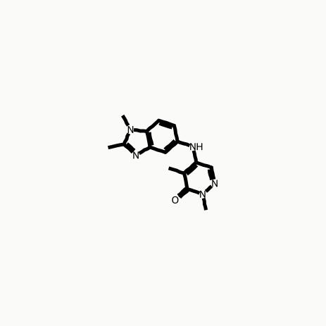 Cc1c(Nc2ccc3c(c2)nc(C)n3C)cnn(C)c1=O